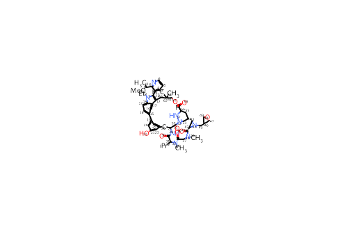 CCn1c(-c2cccnc2[C@H](C)OC)c2c3cc(ccc31)-c1cc(O)cc(c1)C[C@H](NC(=O)C(C(C)C)N(C)C(=O)CN(C)C(=O)[C@@H]1CN1CC1COC1)C(=O)N1CCC[C@H](N1)C(=O)OCC(C)(C)C2